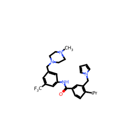 CC(C)c1ccc(C(=O)Nc2cc(CN3CCN(C)CC3)cc(C(F)(F)F)c2)cc1Cn1cccc1